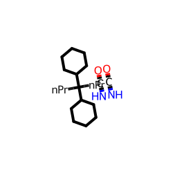 CCCC(CCC)(C1CCCCC1)C1CCCCC1.N=C=O.N=C=O